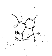 CC[S+]([O-])c1cc(F)cc(C(F)(F)F)c1-c1nccn1C